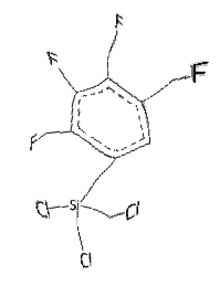 Fc1cc([Si](Cl)(Cl)Cl)c(F)c(F)c1F